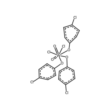 [O]=[W](=[O])([Cl])([Cl])([O]c1ccc(Cl)cc1)([O]c1ccc(Cl)cc1)[O]c1ccc(Cl)cc1